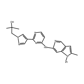 Cc1cc2cnc(Nc3ccnc(-c4cnn(CC(C)(C)O)c4)n3)cc2n1C(C)C